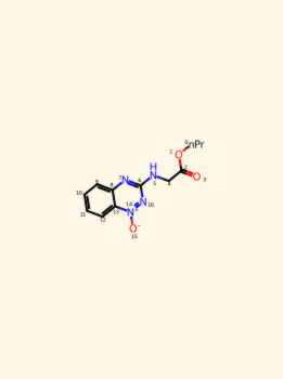 CCCOC(=O)CNc1nc2ccccc2[n+]([O-])n1